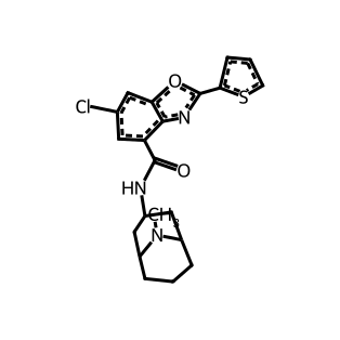 CN1C2CCCC1CC(NC(=O)c1cc(Cl)cc3oc(-c4cccs4)nc13)C2